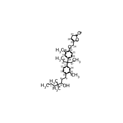 CCCC(C)(C)C(O)CCc1ccc(C(CC)(CC)c2ccc(OCC3=CCC(=O)O3)c(C)c2)cc1C